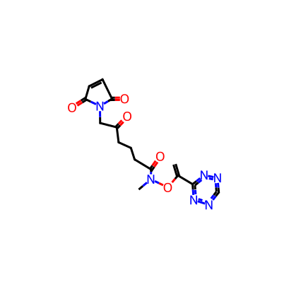 C=C(ON(C)C(=O)CCCC(=O)CN1C(=O)C=CC1=O)c1nncnn1